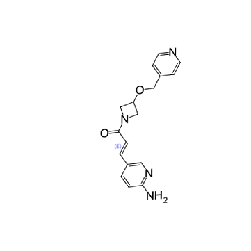 Nc1ccc(/C=C/C(=O)N2CC(OCc3ccncc3)C2)cn1